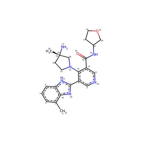 Cc1cccc2[nH]c(-c3cncc(C(=O)NC4CCOC4)c3N3CC[C@](C)(N)C3)nc12